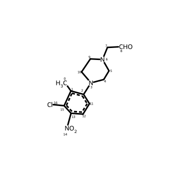 Cc1c(N2CCN(CC=O)CC2)ccc([N+](=O)[O-])c1Cl